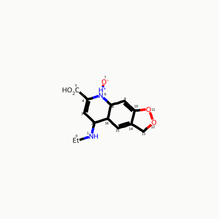 CCNC1C=C(C(=O)O)[NH+]([O-])C2C=C3OOCC3=CC12